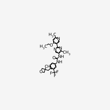 CCOc1cc(C)ncc1-c1ncc(NC(=O)Nc2ccc(CC3(C)COC3)c(C(F)(F)F)c2)c(C)n1